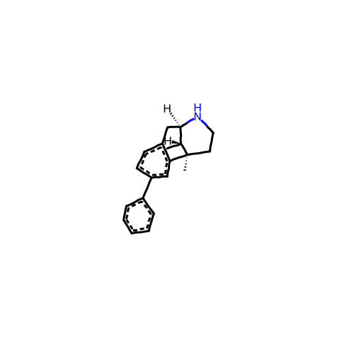 C[C@@H]1[C@H]2Cc3ccc(-c4ccccc4)cc3[C@]1(C)CCN2